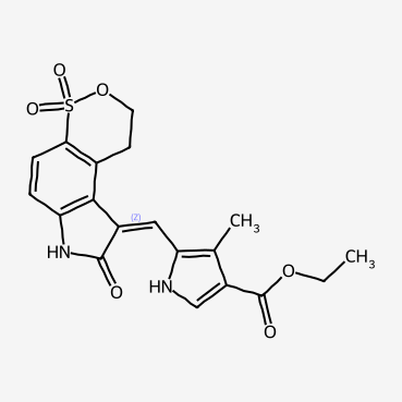 CCOC(=O)c1c[nH]c(/C=C2\C(=O)Nc3ccc4c(c32)CCOS4(=O)=O)c1C